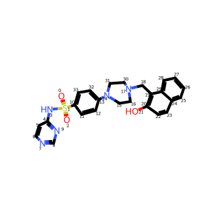 O=S(=O)(Nc1ccncn1)c1ccc(N2CCN(Cc3c(O)ccc4ccccc34)CC2)cc1